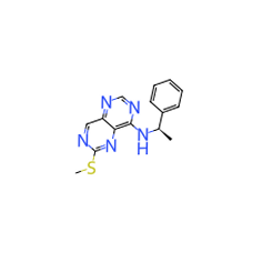 CSc1ncc2ncnc(N[C@H](C)c3ccccc3)c2n1